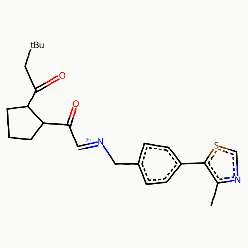 Cc1ncsc1-c1ccc(C/N=C/C(=O)C2CCCC2C(=O)CC(C)(C)C)cc1